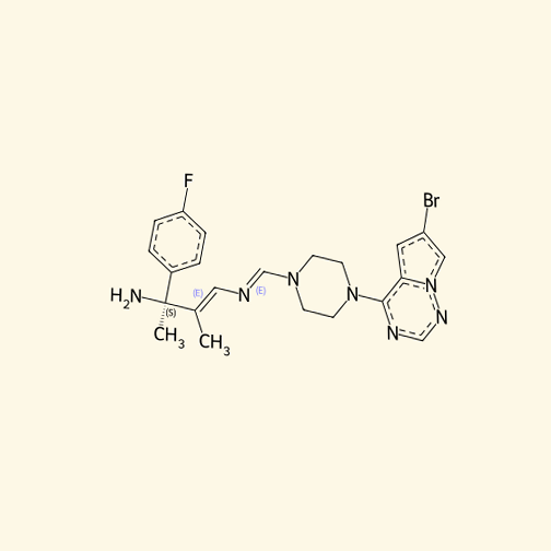 C/C(=C\N=C\N1CCN(c2ncnn3cc(Br)cc23)CC1)[C@@](C)(N)c1ccc(F)cc1